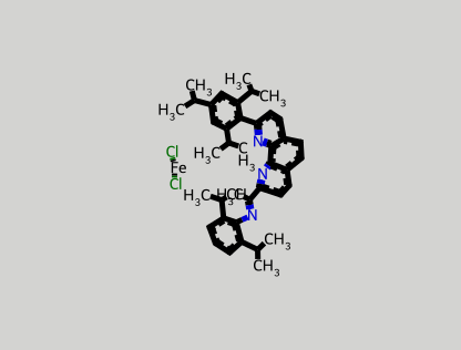 CC(=Nc1c(C(C)C)cccc1C(C)C)c1ccc2ccc3ccc(-c4c(C(C)C)cc(C(C)C)cc4C(C)C)nc3c2n1.[Cl][Fe][Cl]